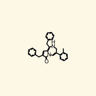 Cc1ccccc1C1=CN2C(=O)C(Cc3ccccc3)=CC2=C(Cc2ccccc2)NC1